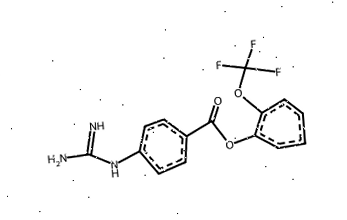 N=C(N)Nc1ccc(C(=O)Oc2ccccc2OC(F)(F)F)cc1